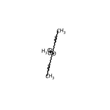 CCCCCSCSCCCCCCCCC(=O)C(CCCCCCCSCSCCCCC)C(=O)OC